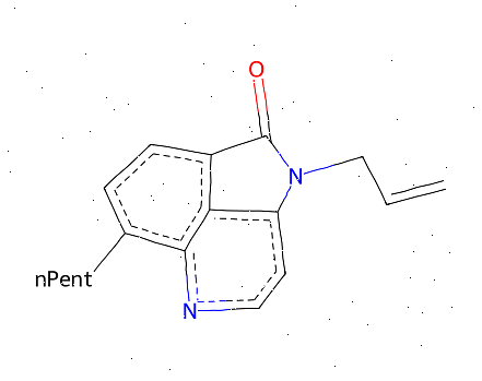 C=CCN1C(=O)c2ccc(CCCCC)c3nccc1c23